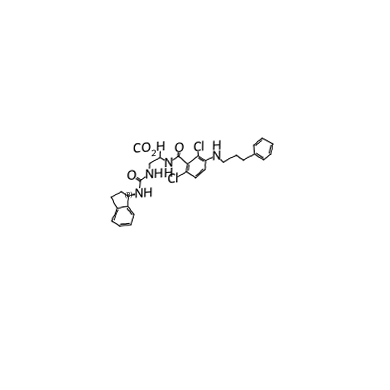 O=C(NCC(NC(=O)c1c(Cl)ccc(NCCCc2ccccc2)c1Cl)C(=O)O)N[C@@H]1CCc2ccccc21